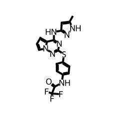 Cc1cc(Nc2nc(Sc3ccc(NC(=O)C(F)(F)F)cc3)nn3cccc23)n[nH]1